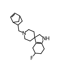 FC1CCC2=C(C1)C1(CCN(CC3CC4C=CC3C4)CC1)CN2